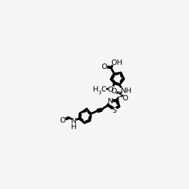 COc1cc(C(=O)O)ccc1NS(=O)(=O)c1csc(C#Cc2ccc(NC=O)cc2)n1